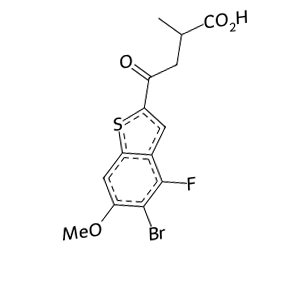 COc1cc2sc(C(=O)CC(C)C(=O)O)cc2c(F)c1Br